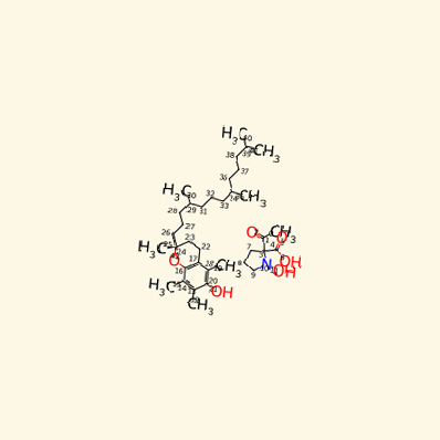 CC(=O)C1(C(=O)O)CCCN1O.Cc1c(C)c2c(c(C)c1O)CC[C@@](C)(CCCC(C)CCCC(C)CCCC(C)C)O2